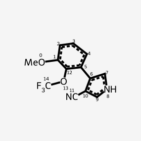 COc1cccc(-c2c[nH]cc2C#N)c1OC(F)(F)F